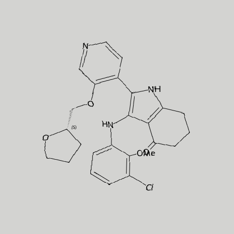 COc1c(Cl)cccc1Nc1c(-c2ccncc2OC[C@@H]2CCCO2)[nH]c2c1C(=O)CCC2